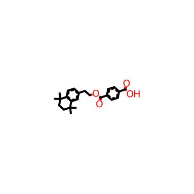 CC1(C)CCC(C)(C)c2cc(CCOC(=O)c3ccc(C(=O)O)cc3)ccc21